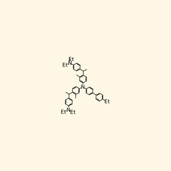 CCc1ccc(-c2ccc(N(c3ccc(C(C)c4ccc(N(CC)CC)cc4)c(C)c3)c3ccc(C(C)c4ccc(N(CC)CC)cc4)c(C)c3)cc2)cc1